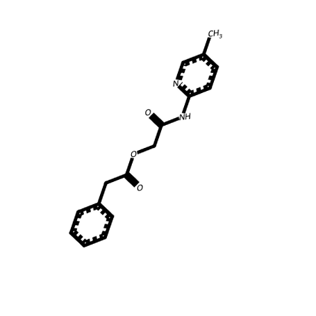 Cc1ccc(NC(=O)COC(=O)Cc2ccccc2)nc1